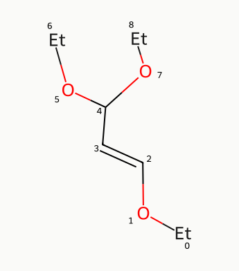 CCOC=CC(OCC)OCC